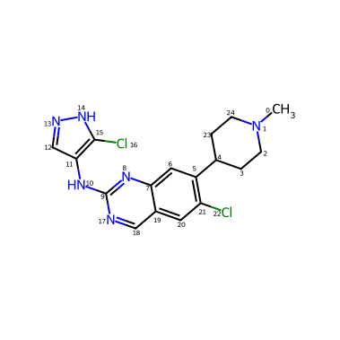 CN1CCC(c2cc3nc(Nc4cn[nH]c4Cl)ncc3cc2Cl)CC1